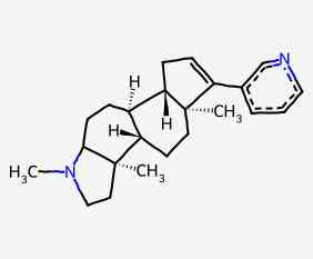 CN1CC[C@@]2(C)C1CC[C@@H]1[C@@H]2CC[C@]2(C)C(c3cccnc3)=CC[C@@H]12